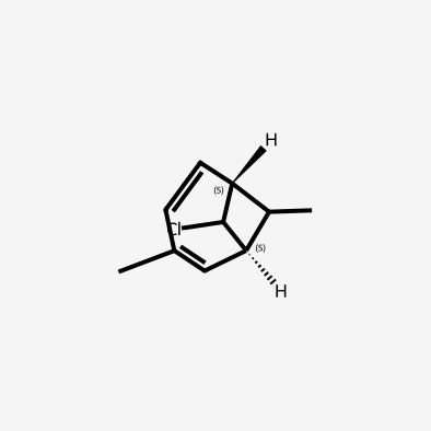 CC1=C[C@@H]2C(C)[C@@H](C=C1)C2Cl